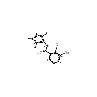 Cc1nn(C)c(C)c1N[S+]([O-])c1cccc(Cl)c1Cl